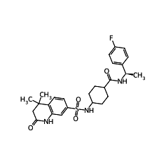 C[C@@H](NC(=O)C1CCC(NS(=O)(=O)c2ccc3c(c2)NC(=O)CC3(C)C)CC1)c1ccc(F)cc1